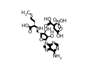 CSCC[C@H](NC[C@H]1O[C@@H](n2cnc3c(N)ncnc32)[C@H](O)[C@@H]1O)C(=O)O.O=C(O)CC(C(=O)O)S(=O)(=O)O